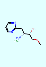 COC[C@@H](O)[C@H](N)Cc1ncccn1.Cl